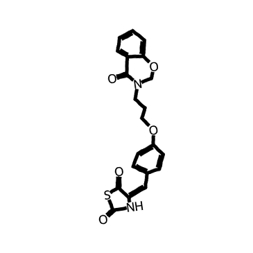 O=C1NC(=Cc2ccc(OCCCN3COc4ccccc4C3=O)cc2)C(=O)S1